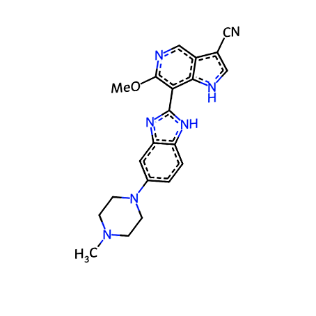 COc1ncc2c(C#N)c[nH]c2c1-c1nc2cc(N3CCN(C)CC3)ccc2[nH]1